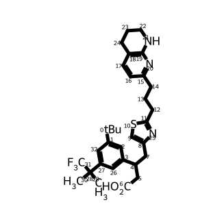 CC(C)(C)c1cc(C(CC(=O)O)Cc2csc(CCCc3ccc4c(n3)NCCC4)n2)cc(C(C)(C)C(F)(F)F)c1